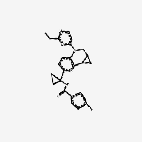 CCc1nccc(N2CC3CC3c3nc(C4(NC(=O)c5ccc(F)cc5)CC4)ccc32)n1